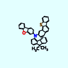 CC1(C)c2ccccc2-c2c(N(c3ccc4c(c3)oc3ccccc34)c3ccc4ccc5c6ccccc6sc5c4c3)cccc21